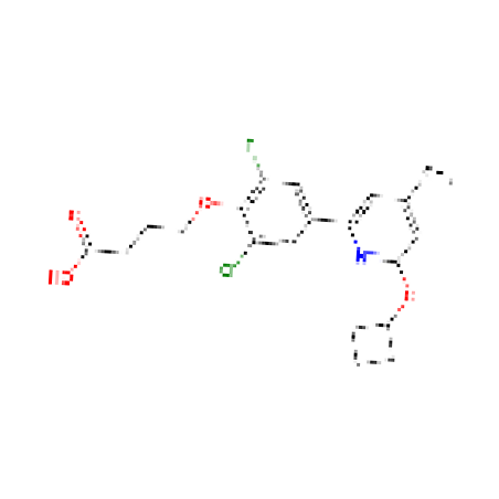 Cc1cc(OC2CCC2)nc(-c2cc(F)c(OCCCC(=O)O)c(Cl)c2)c1